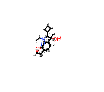 CCNC(C1CCC1)C(C)(O)c1ccc2ccoc2c1